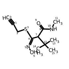 C#CCSC(=NO)C(C(=O)NC)C(C)(C)C